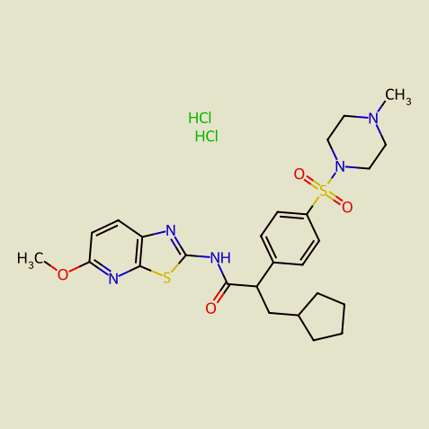 COc1ccc2nc(NC(=O)C(CC3CCCC3)c3ccc(S(=O)(=O)N4CCN(C)CC4)cc3)sc2n1.Cl.Cl